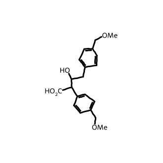 COCc1ccc(CC(O)C(C(=O)O)c2ccc(COC)cc2)cc1